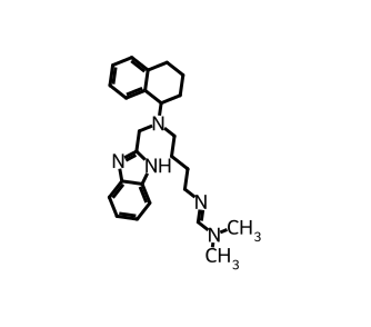 CN(C)/C=N/CCCCN(Cc1nc2ccccc2[nH]1)C1CCCc2ccccc21